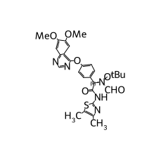 COc1cc2ncnc(Oc3ccc([C@H](C(=O)Nc4nc(C)c(C)s4)N(C=O)OC(C)(C)C)cc3)c2cc1OC